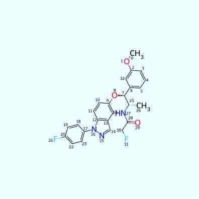 COc1cccc([C@H](Oc2ccc3c(cnn3-c3ccc(F)cc3)c2)[C@H](C)NC(=O)CF)c1